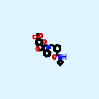 O=C(NC1CCC1)c1cccc(CN2C(=O)C3(COc4cc5c(cc43)OCO5)c3ccccc32)c1